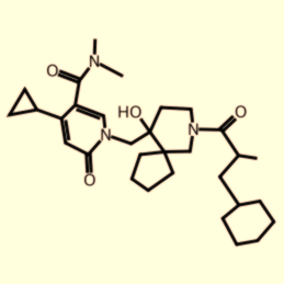 CC(CC1CCCCC1)C(=O)N1CCC(O)(Cn2cc(C(=O)N(C)C)c(C3CC3)cc2=O)C2(CCCC2)C1